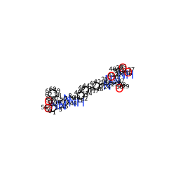 C=CCCN(Cc1ncc(-c2ccc3cc(C4=CC=C(c5cn6c(n5)CN(CC(C)=O)C([C@@H](NC(=O)OC)C(C)C)O6)CC4)ccc3c2)[nH]1)C(C)[C@H](NC(=O)OC)C1=CC=CCCC1